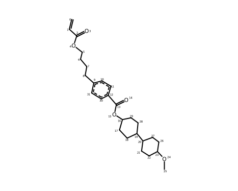 C=CC(=O)OCCCCc1ccc(C(=O)OC2CCC(C3CCC(OC)CC3)CC2)cc1